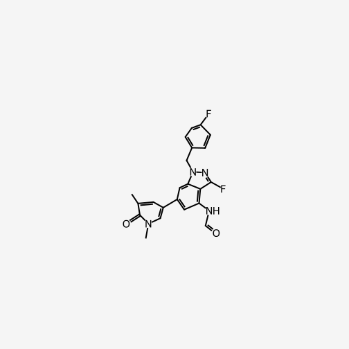 Cc1cc(-c2cc(NC=O)c3c(F)nn(Cc4ccc(F)cc4)c3c2)cn(C)c1=O